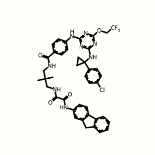 CC(C)(CNC(=O)C(=O)Nc1ccc2c(c1)Cc1ccccc1-2)CNC(=O)c1ccc(Nc2nc(NC3(c4ccc(Cl)cc4)CC3)nc(OCC(F)(F)F)n2)cc1